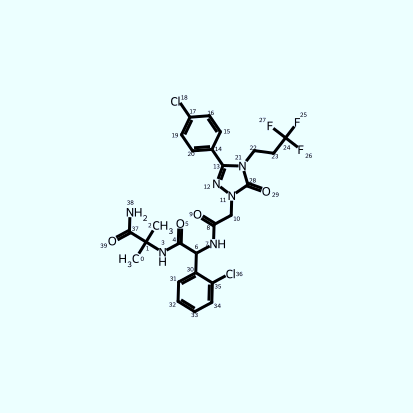 CC(C)(NC(=O)C(NC(=O)Cn1nc(-c2ccc(Cl)cc2)n(CCC(F)(F)F)c1=O)c1ccccc1Cl)C(N)=O